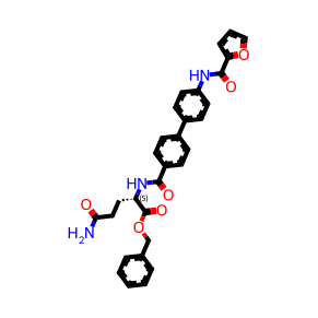 NC(=O)CC[C@H](NC(=O)c1ccc(-c2ccc(NC(=O)c3ccco3)cc2)cc1)C(=O)OCc1ccccc1